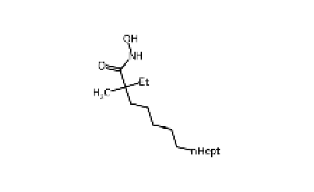 CCCCCCCCCCCCC(C)(CC)C(=O)NO